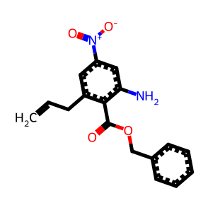 C=CCc1cc([N+](=O)[O-])cc(N)c1C(=O)OCc1ccccc1